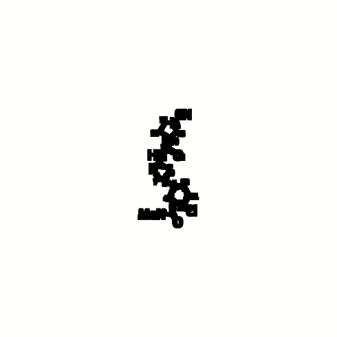 CNC(=O)c1cc(-c2cnc(NC(=O)[C@H]3CCN(C#N)C3)s2)ccc1Cl